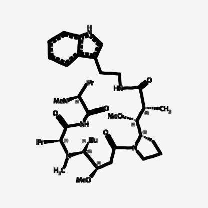 CC[C@H](C)[C@@H]([C@@H](CC(=O)N1CCC[C@H]1[C@H](OC)[C@@H](C)C(=O)NCCc1c[nH]c2ccccc12)OC)N(C)[C@H](C(=O)NC(=O)[C@@H](NC)C(C)C)C(C)C